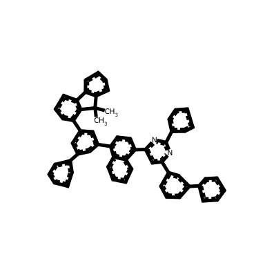 CC1(C)c2ccccc2-c2cccc(-c3cc(-c4ccccc4)cc(-c4ccc(-c5cc(-c6cccc(-c7ccccc7)c6)nc(-c6ccccc6)n5)c5ccccc45)c3)c21